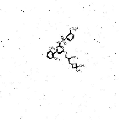 Cc1cccc(C)c1-c1cc(OCC(N)CC2CC(C)(C)C2)nc(NS(=O)(=O)c2cccc(C(=O)O)c2)n1